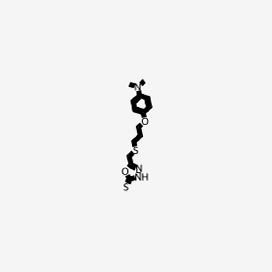 CN(C)c1ccc(OCCCSCc2n[nH]c(=S)o2)cc1